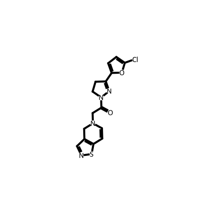 O=C(CN1C=Cc2sncc2C1)N1CCC(c2ccc(Cl)o2)=N1